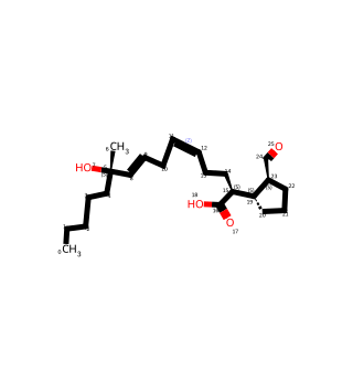 CCCCC[C@](C)(O)C=CC/C=C\CC[C@H](C(=O)O)[C@H]1CCC[C@@H]1C=O